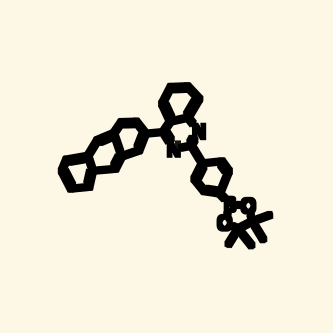 CC1(C)OB(c2ccc(-c3nc(-c4ccc5cc6ccccc6cc5c4)c4ccccc4n3)cc2)OC1(C)C